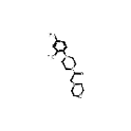 CC(C)(C)c1ccc(N2CCN(C(=O)CN3CCOCC3)CC2)c(C(F)(F)F)c1